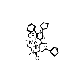 COCCN(C)C(=O)[C@H](CCc1ccccc1)NC(=O)c1cc(-c2ccccc2C(F)(F)F)n(C2CCCC2)n1